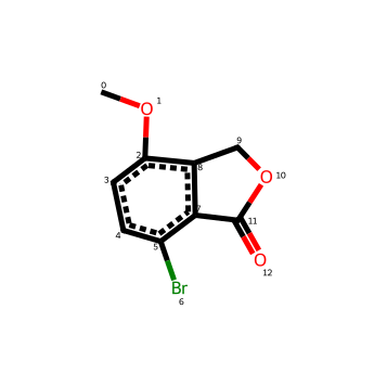 COc1ccc(Br)c2c1COC2=O